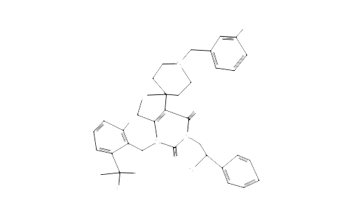 NC(Cn1c(=O)c2c(n(Cc3c(F)cccc3C(F)(F)F)c1=O)COC21CCN(Cc2cccc(O)c2)CC1)c1ccccc1